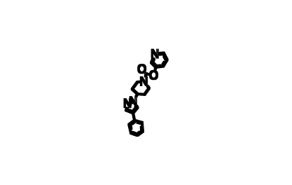 O=C(Oc1cccnc1)N1CCC(n2cc(-c3ccccc3)cn2)CC1